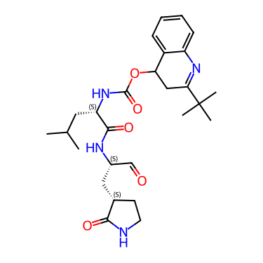 CC(C)C[C@H](NC(=O)OC1CC(C(C)(C)C)=Nc2ccccc21)C(=O)N[C@H](C=O)C[C@@H]1CCNC1=O